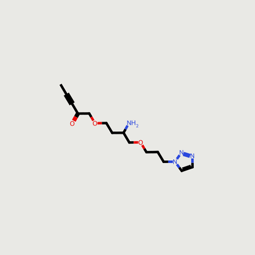 CC#CC(=O)COCCC(N)COCCCn1ccnn1